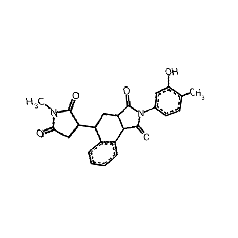 Cc1ccc(N2C(=O)C3CC(C4CC(=O)N(C)C4=O)c4ccccc4C3C2=O)cc1O